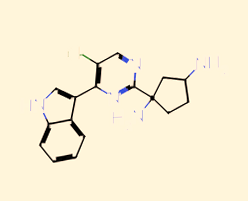 NC1CCC(N)(c2ncc(Cl)c(-c3c[nH]c4ccccc34)n2)C1